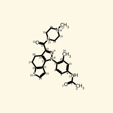 CC(=O)Nc1ccc(-n2nc(C(=O)N3CCN(C)CC3)c3c2-c2ccsc2CC3)c(C)c1